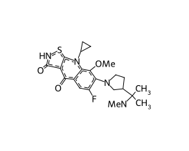 CNC(C)(C)C1CCN(c2c(F)cc3c(=O)c4c(=O)[nH]sc4n(C4CC4)c3c2OC)C1